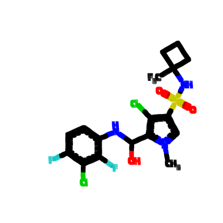 Cn1cc(S(=O)(=O)NC2(C(F)(F)F)CCC2)c(Cl)c1C(O)Nc1ccc(F)c(Cl)c1F